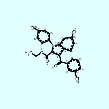 CCOC(=O)c1c(C(=O)c2cccc(Cl)c2)c2ccc(Cl)cc2n1-c1ccc(Cl)cc1